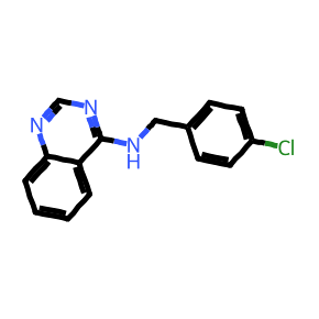 Clc1ccc(CNc2ncnc3ccccc23)cc1